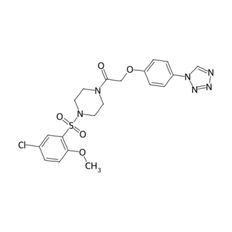 COc1ccc(Cl)cc1S(=O)(=O)N1CCN(C(=O)COc2ccc(-n3cnnn3)cc2)CC1